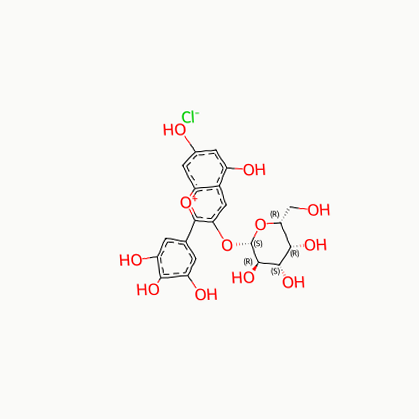 OC[C@H]1O[C@@H](Oc2cc3c(O)cc(O)cc3[o+]c2-c2cc(O)c(O)c(O)c2)[C@H](O)[C@@H](O)[C@H]1O.[Cl-]